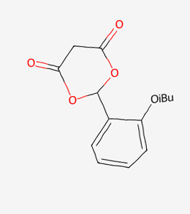 CC(C)COc1ccccc1C1OC(=O)CC(=O)O1